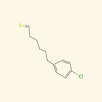 S=[C]CCCCCc1ccc(Cl)cc1